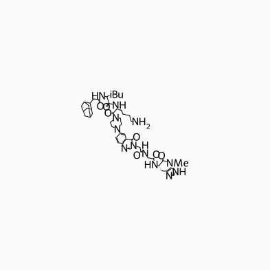 CC[C@H](C)[C@H](NC(=O)CC1C2CC3CC(C2)CC1C3)C(=O)N[C@@H](CCCCN)C(=O)N1CCN(c2ccc3ncn(CC(=O)NCC(=O)N[C@@H](Cc4c[nH]cn4)C(=O)NC)c(=O)c3c2)CC1